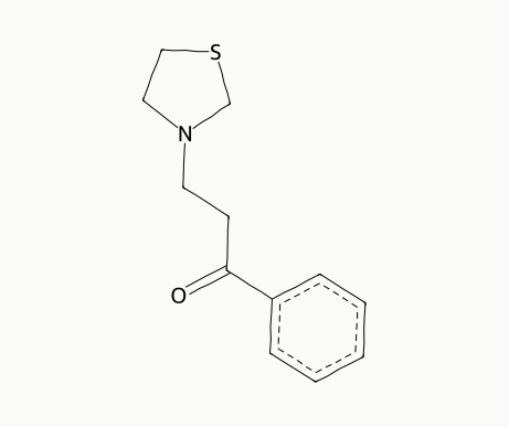 O=C(CCN1CCSC1)c1ccccc1